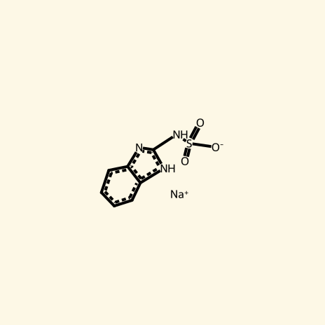 O=S(=O)([O-])Nc1nc2ccccc2[nH]1.[Na+]